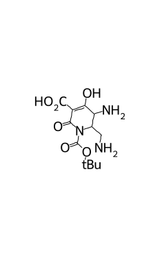 CC(C)(C)OC(=O)N1C(=O)C(C(=O)O)=C(O)C(N)C1CN